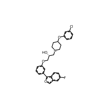 O[C@@H](COc1cccc(-c2occ3cc(F)ccc23)c1)CN1CCC(Oc2cccc(Cl)c2)CC1